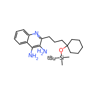 CC(C)(C)[Si](C)(C)OC1(CCCc2nc3ccccc3c(N)c2N)CCCCC1